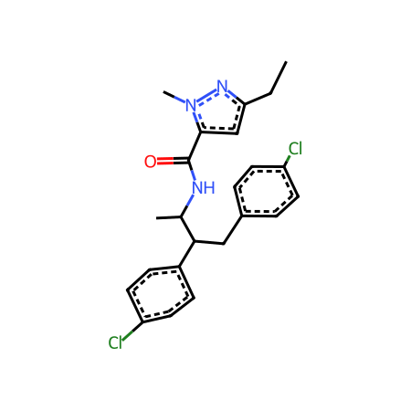 CCc1cc(C(=O)NC(C)C(Cc2ccc(Cl)cc2)c2ccc(Cl)cc2)n(C)n1